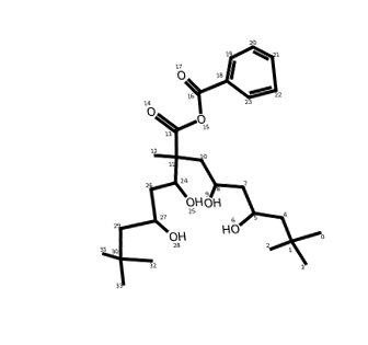 CC(C)(C)CC(O)CC(O)CC(C)(C(=O)OC(=O)c1ccccc1)C(O)CC(O)CC(C)(C)C